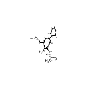 CC(=O)OCc1cc(-c2ccccc2)cc(CNC(C)Cl)c1C(F)(F)F